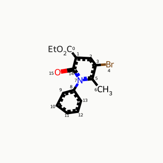 CCOC(=O)c1cc(Br)c(C)n(-c2ccccc2)c1=O